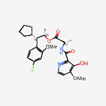 COc1cc(F)ccc1[C@H](C1CCCC1)[C@H](C)OC(=O)[C@H](C)NC(=O)c1nccc(OC)c1O